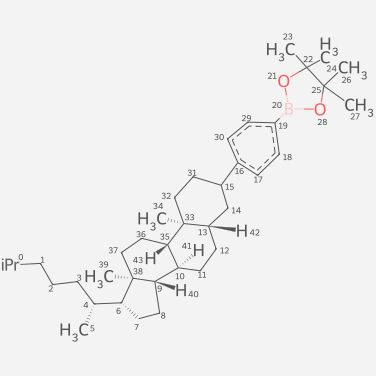 CC(C)CCC[C@@H](C)[C@H]1CC[C@H]2[C@@H]3CC[C@H]4CC(c5ccc(B6OC(C)(C)C(C)(C)O6)cc5)CC[C@]4(C)[C@H]3CC[C@]12C